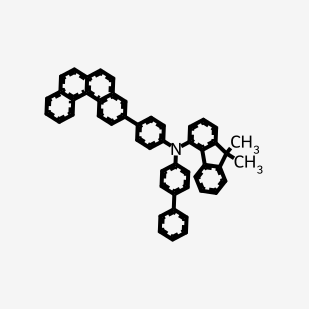 CC1(C)c2ccccc2-c2c(N(c3ccc(-c4ccccc4)cc3)c3ccc(-c4ccc5c(ccc6ccc7ccccc7c65)c4)cc3)cccc21